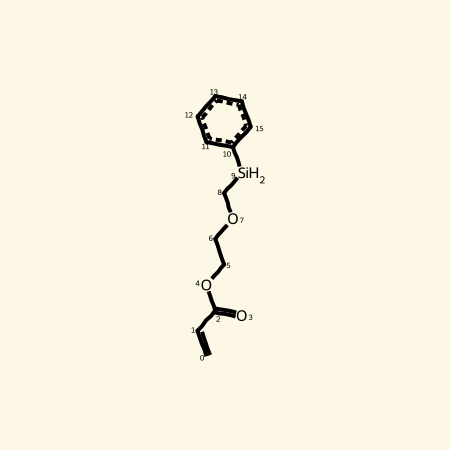 C=CC(=O)OCCOC[SiH2]c1ccccc1